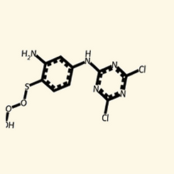 Nc1cc(Nc2nc(Cl)nc(Cl)n2)ccc1SOOO